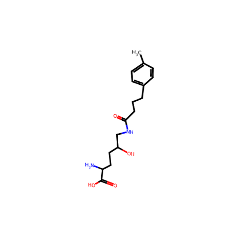 Cc1ccc(CCCC(=O)NCC(O)CCC(N)C(=O)O)cc1